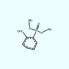 CC(C)(C)OP(=O)(OC(C)(C)C)c1ccccc1C=O